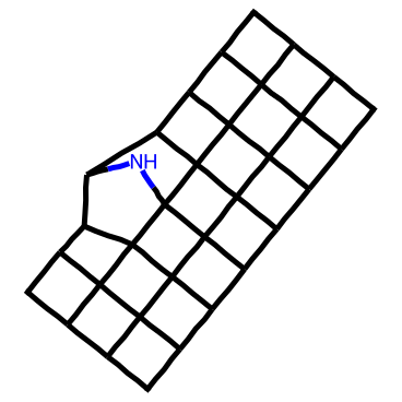 C1C2C3CC4C5C6C7C8C9CC%10C%11CC%12C%13C%14C%15NC%16%17C%18%19C%15C1C2%18C34C5%19C6%16C71C82C%109C%11%12C%132C%14%171